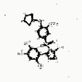 COc1cc(S(=O)(=O)n2c(S)nnc2-c2cc(C(C)C)c(O)cc2O)ccc1OC1CCCC1